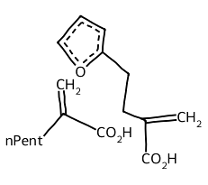 C=C(CCCCC)C(=O)O.C=C(CCc1ccco1)C(=O)O